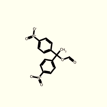 CC(O[C]=O)(c1ccc([N+](=O)[O-])cc1)c1ccc([N+](=O)[O-])cc1